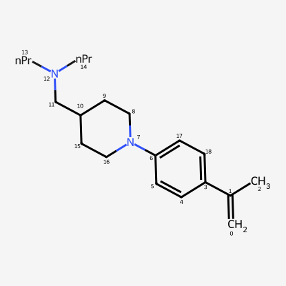 C=C(C)c1ccc(N2CCC(CN(CCC)CCC)CC2)cc1